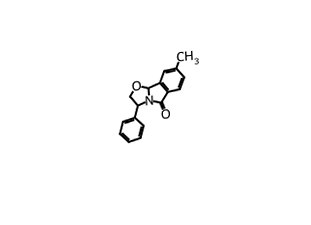 Cc1ccc2c(c1)C1OCC(c3ccccc3)N1C2=O